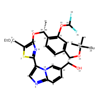 CCOC(=O)c1sc(-c2cnc3ccc(CO)cn23)nc1O[C@H](C)c1ccc(CO[Si](C)(C)C(C)(C)C)cc1OC(F)F